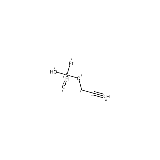 C#CCO[SH](=O)(O)CC